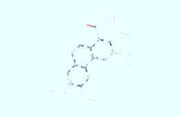 COc1cc2ccc3c(C(=O)O)c(OC)c(OC)cc3c2cc1OC